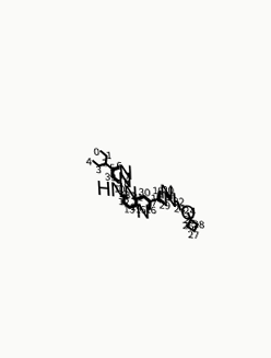 CCC(CC)c1cnnc(Nc2ccc3ncc(-c4cnn(CCOC5CCC5)c4)cc3n2)c1